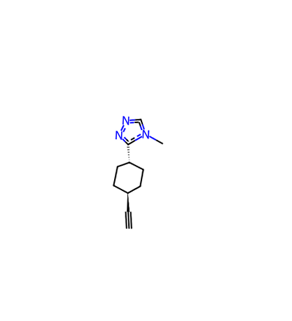 C#C[C@H]1CC[C@H](c2nncn2C)CC1